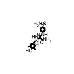 Cc1cc(CNc2[nH]nc(Nc3ccc([S+](N)[O-])cc3)c2C(N)=O)cc(C)c1O